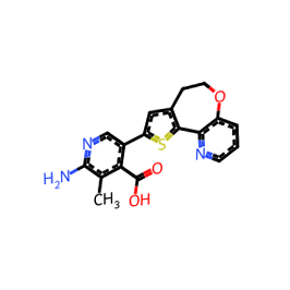 Cc1c(N)ncc(-c2cc3c(s2)-c2ncccc2OCC3)c1C(=O)O